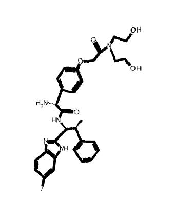 C[C@@H](c1ccccc1)[C@H](NC(=O)[C@H](N)c1ccc(OCC(=O)N(CCO)CCO)cc1)c1nc2ccc(I)cc2[nH]1